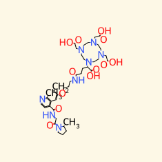 C=C/C(=C\c1c(C(=O)NCC(=O)N2CCC[C@H]2C)ccnc1C)OCCCNC(=O)CCC(C(=O)O)N1CCN(CC(=O)O)CCN(CC(=O)O)CCN(CC(=O)O)CC1